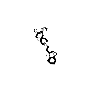 CCCN1CC2(CCN(CCC3COc4ccccc4O3)CC2)OCC1=O